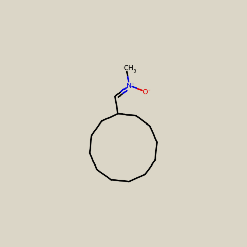 C[N+]([O-])=CC1CCCCCCCCCCC1